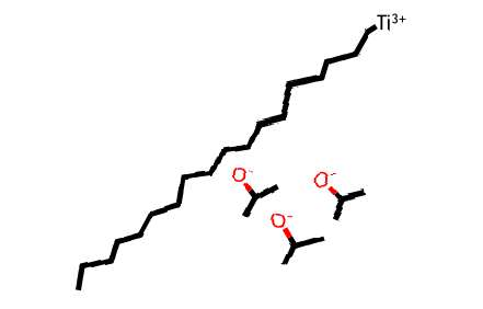 CC(C)[O-].CC(C)[O-].CC(C)[O-].CCCCCCCCCCCCCCCCC[CH2][Ti+3]